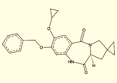 O=C1Nc2cc(OCc3ccccc3)c(OC3CC3)cc2C(=O)N2CC3(CC3)C[C@@H]12